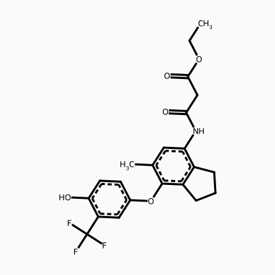 CCOC(=O)CC(=O)Nc1cc(C)c(Oc2ccc(O)c(C(F)(F)F)c2)c2c1CCC2